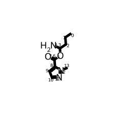 CCCC(N)OC(=O)c1ccnn1C